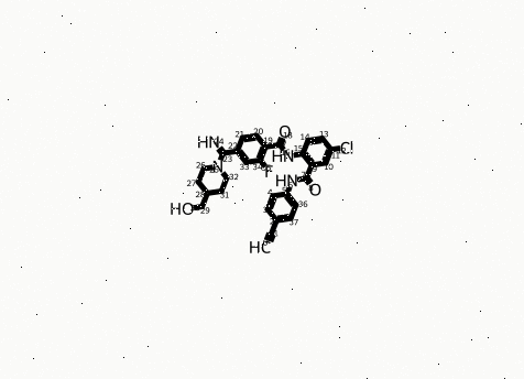 C#Cc1ccc(NC(=O)c2cc(Cl)ccc2NC(=O)c2ccc(C(=N)N3CCC(CO)CC3)cc2F)cc1